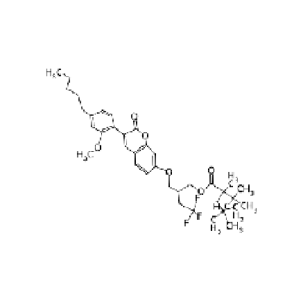 CCCCCc1ccc(-c2cc3ccc(OCC(COC(=O)C(C)(CC(C)(C)C)C(C)(C)C)CC(F)(F)F)cc3oc2=O)c(OC)c1